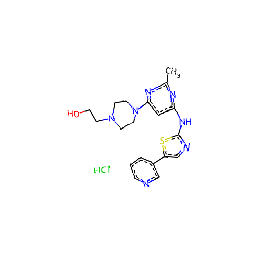 Cc1nc(Nc2ncc(-c3cccnc3)s2)cc(N2CCN(CCO)CC2)n1.Cl